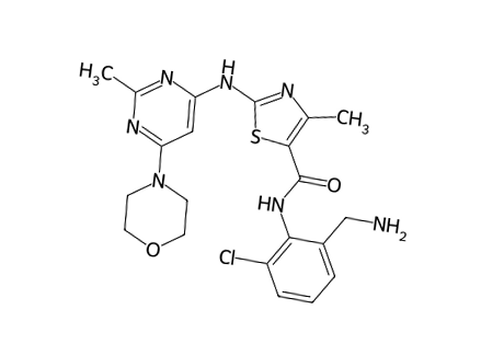 Cc1nc(Nc2nc(C)c(C(=O)Nc3c(Cl)cccc3CN)s2)cc(N2CCOCC2)n1